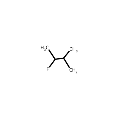 [CH2]C(C)C(C)F